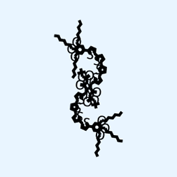 CCCCCCOc1cc(-c2ccc(-c3ccc(-c4ccc(-c5ccc(C6=C7C(=O)N(C(=O)OC(C)(C)C)C(c8ccc(-c9ccc(-c%10ccc(-c%11ccc(-c%12cc(OCCCCCC)c(OCCCCCC)c(OCCCCCC)c%12)s%11)s%10)s9)s8)=C7C(=O)N6C(=O)OC(C)(C)C)s5)s4)s3)s2)cc(OCCCCCC)c1OCCCCCC